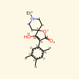 CCN1CCC2(CC1)OC(=O)C(c1cc(C)c(C)cc1C)=C2O